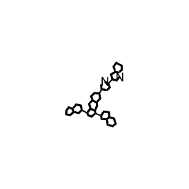 c1ccc2cc(-c3ccc(-c4ccc5ccccc5c4)c4cc5cc(-c6ccc(-c7cnc8ccccc8c7)nc6)ccc5cc34)ccc2c1